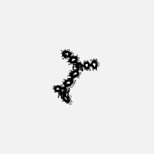 c1ccc(-c2ccc(-c3cc(-c4ccc(-c5ccccc5)cc4)nc(-c4ccc(-c5ccc(-c6nc7c(nc8ccccn87)c7ccccc67)cc5)cc4)n3)cc2)cc1